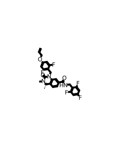 C=CCOc1cc(F)c(CN2C(=O)N(C)[C@@H](C)c3ccc(C(=O)NCc4c(F)cc(F)cc4F)cc32)c(F)c1